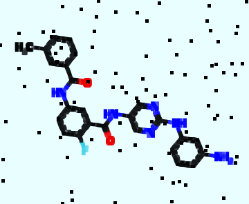 Cc1cccc(C(=O)Nc2ccc(F)c(C(=O)Nc3cnc(Nc4cccc(N)c4)nc3)c2)c1